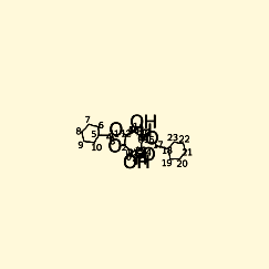 O[C@@H]1C2OC(C3CCCCC3)OC2[C@@H](O)[C@@H]2OC(C3CCCCC3)O[C@H]21